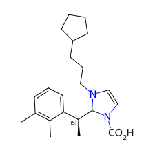 Cc1cccc([C@H](C)C2N(CCCC3CCCC3)C=CN2C(=O)O)c1C